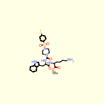 CC(C)(C)OC(=O)C(CCCCN)NC(=O)C(Cc1c[nH]c2ccccc12)NC(=O)N1CCN(S(=O)(=O)c2ccc(F)cc2)CC1